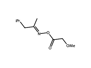 COCC(=O)O/N=C(\C)CC(C)C